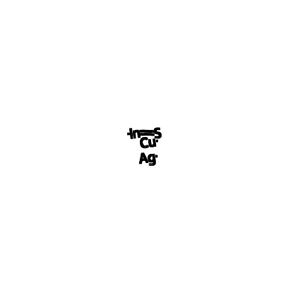 [Ag].[Cu].[S]=[In]